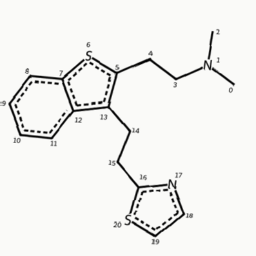 CN(C)CCc1sc2ccccc2c1CCc1nccs1